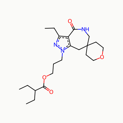 CCc1nn(CCCOC(=O)C(CC)CC)c2c1C(=O)NCC1(CCOCC1)C2